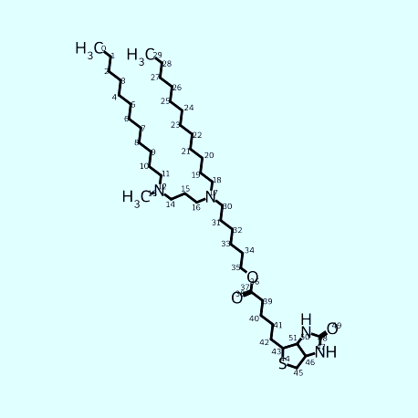 CCCCCCCCCCCCN(C)CCCN(CCCCCCCCCCCC)CCCCCCOC(=O)CCCCC1SCC2NC(=O)NC21